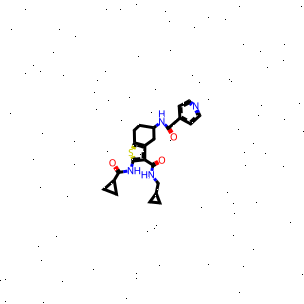 O=C(NC1CCc2sc(NC(=O)C3CC3)c(C(=O)NCC3CC3)c2C1)c1ccncc1